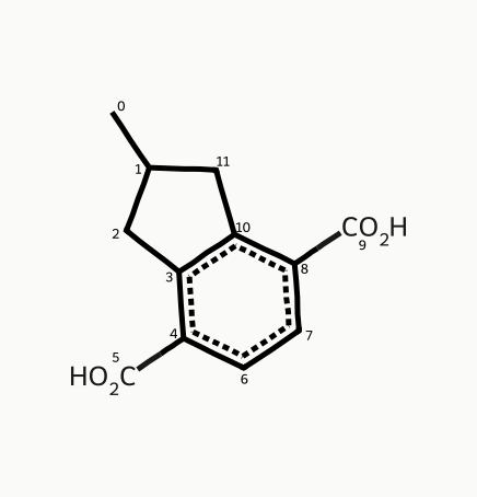 CC1Cc2c(C(=O)O)ccc(C(=O)O)c2C1